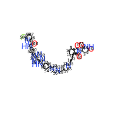 O=C1CC[C@H](N2C(=O)c3cccc(CCCN4CCC(CN5CCN(c6ccc(Nc7ncnc8c7ncn8C7CC(NC(=O)c8cccc(F)n8)C7)cc6)CC5)CC4)c3C2=O)C(=O)N1